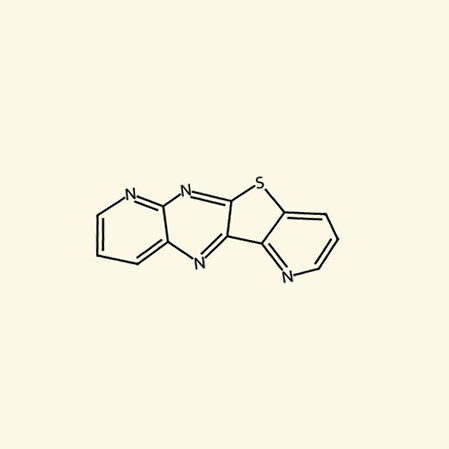 c1cnc2nc3sc4cccnc4c3nc2c1